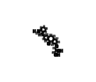 Nc1ccccc1Nc1ccc2c(c1)CCc1ccc(OC[C@H](O)CO)cc1C2=O